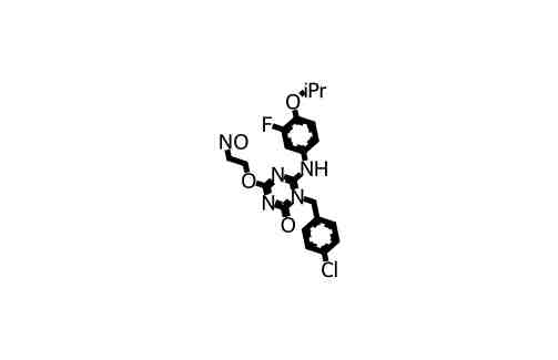 CC(C)Oc1ccc(Nc2nc(OCCN=O)nc(=O)n2Cc2ccc(Cl)cc2)cc1F